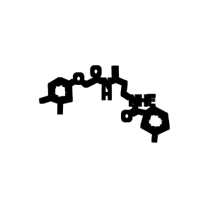 C=C(CCNC(=O)c1cc(C)ccc1F)NC(=O)COc1ccc(C)c(C)c1